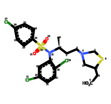 C[C@H](CCN1CSC(CC(=O)O)C1)N(c1cc(Cl)ccc1Cl)S(=O)(=O)c1ccc(Cl)cc1